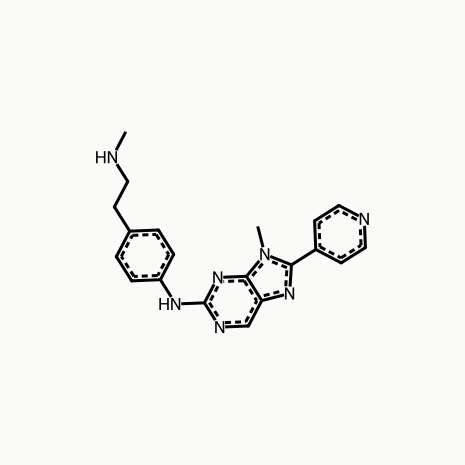 CNCCc1ccc(Nc2ncc3nc(-c4ccncc4)n(C)c3n2)cc1